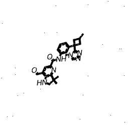 CC1CC(c2cccc(NC(=O)c3cc(C=O)c4c(n3)C(C)(C)CN4)c2)(c2nncn2C)C1